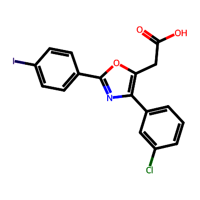 O=C(O)Cc1oc(-c2ccc(I)cc2)nc1-c1cccc(Cl)c1